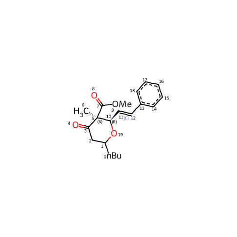 CCCCC1CC(=O)[C@@](C)(C(=O)OC)[C@@H](/C=C/c2ccccc2)O1